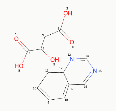 O=C(O)CC(O)C(=O)O.c1ccc2ncncc2c1